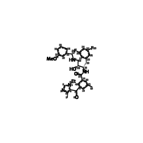 CCn1cnc(C)c1C(=O)c1cc(C)cc(C(=O)N[C@@H](Cc2cc(F)cc(F)c2)[C@H](O)CNCc2cccc(OC)c2)c1